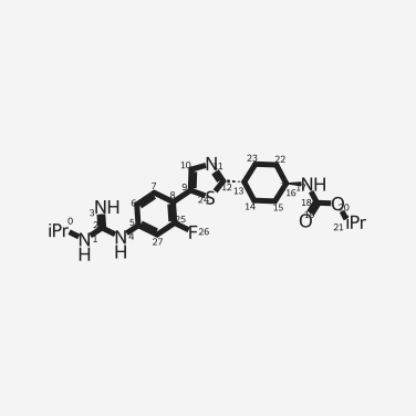 CC(C)NC(=N)Nc1ccc(-c2cnc([C@H]3CC[C@H](NC(=O)OC(C)C)CC3)s2)c(F)c1